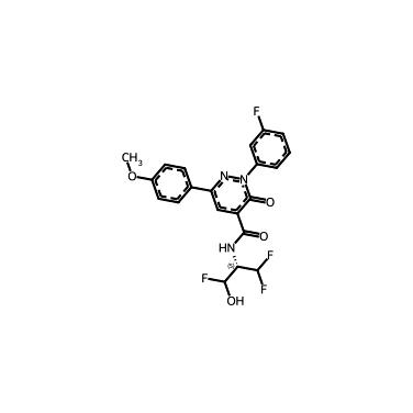 COc1ccc(-c2cc(C(=O)N[C@@H](C(O)F)C(F)F)c(=O)n(-c3cccc(F)c3)n2)cc1